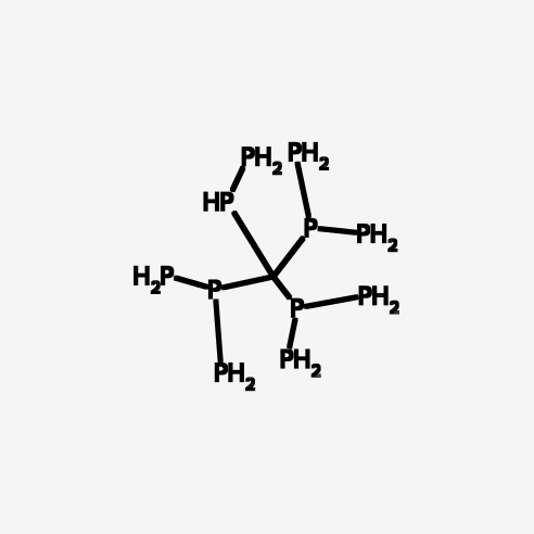 PPC(P(P)P)(P(P)P)P(P)P